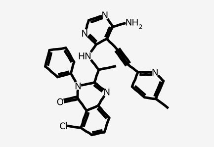 Cc1ccc(C#Cc2c(N)ncnc2NC(C)c2nc3cccc(Cl)c3c(=O)n2-c2ccccc2)nc1